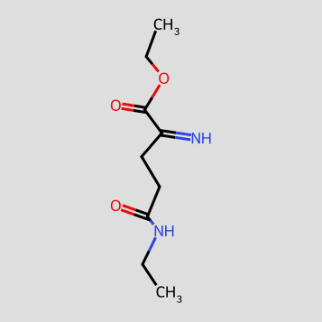 CCNC(=O)CCC(=N)C(=O)OCC